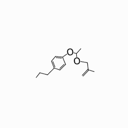 C=C(C)COC(C)Oc1ccc(CCC)cc1